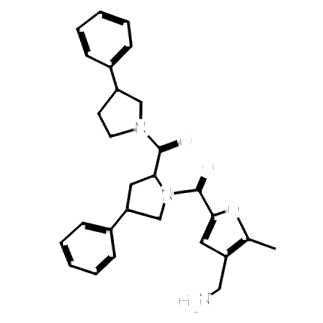 Cc1oc(C(=O)N2CC(c3ccccc3)CC2C(=O)N2CCC(c3ccccc3)C2)cc1CN